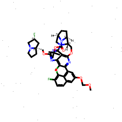 COCOc1cc(-c2nc3c4c(nc(OC[C@]56CCCN5C[C@H](F)C6)nc4c2F)N2C[C@H]4CC[C@@H]([C@@H]2CO3)N4C(=O)OC(C)(C)C)c2c(F)c(F)ccc2c1